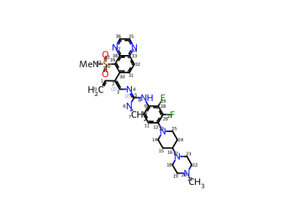 C=C/C(=C/N=C(\N=C)Nc1ccc(N2CCC(N3CCN(C)CC3)CC2)c(F)c1F)c1ccc2nccnc2c1S(=O)(=O)NC